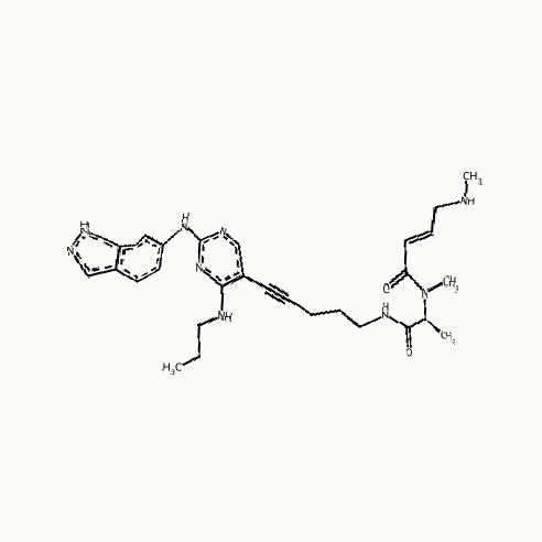 CCCNc1nc(Nc2ccc3cn[nH]c3c2)ncc1C#CCCCNC(=O)[C@H](C)N(C)C(=O)/C=C/CNC